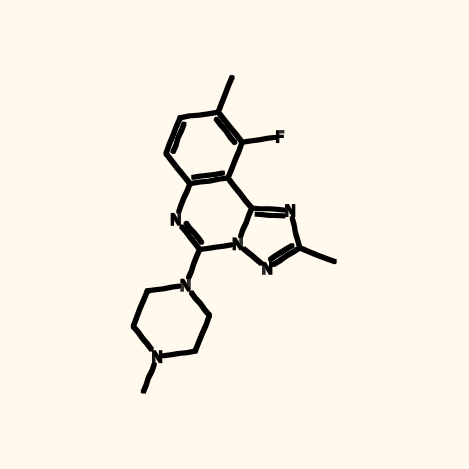 Cc1nc2c3c(F)c(C)ccc3nc(N3CCN(C)CC3)n2n1